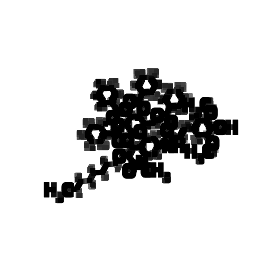 CCCCCCCCOc1c(O[C@@H]2O[C@H](COC(=O)c3ccccc3)[C@@H](OC(=O)c3ccccc3)[C@H](OC(=O)c3ccccc3)[C@H]2OC(=O)c2ccccc2)c2ccc(NC(=O)/C=C/c3cc(OC)c(O)c(OC)c3)cc2n(C)c1=O